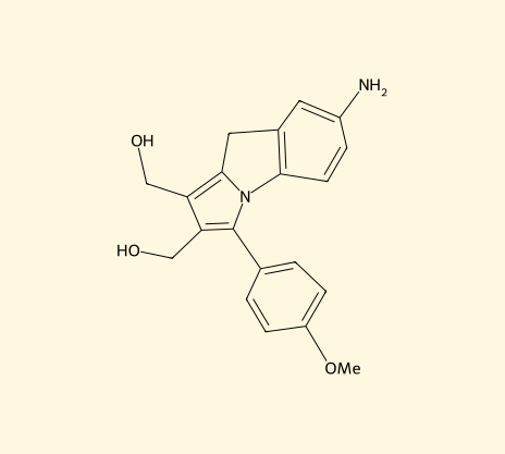 COc1ccc(-c2c(CO)c(CO)c3n2-c2ccc(N)cc2C3)cc1